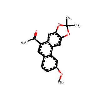 CCCCOc1ccc2cc(C(=O)OC)c3cc4c(cc3c2c1)OC(C)(C)O4